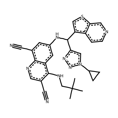 CC(C)(C)CNc1c(C#N)cnc2c(C#N)cc(NC(c3cn(C4CC4)nn3)c3csc4cnccc34)cc12